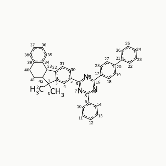 CC1(C)c2cc(-c3nc(-c4ccccc4)nc(-c4ccc(-c5ccccc5)cc4)n3)ccc2C2c3ccccc3CCC21